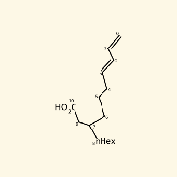 C=CC=CCCCC(CCCCCC)CC(=O)O